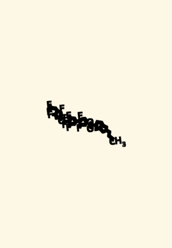 CCCCC1Cc2ccc(C(=O)Oc3cc(F)c(-c4cc(F)c(C(F)(F)Oc5cc(F)c(C=C(F)F)c(F)c5)c(F)c4)c(F)c3)cc2C1